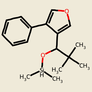 C[SiH](C)OC(c1cocc1-c1ccccc1)C(C)(C)C